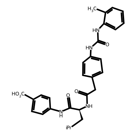 Cc1ccccc1NC(=O)Nc1ccc(CC(=O)N[C@@H](CC(C)C)C(=O)Nc2ccc(C(=O)O)cc2)cc1